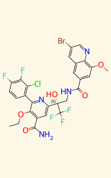 CCOc1c(C(N)=O)cc([C@@](O)(CNC(=O)c2cc(OC)c3ncc(Br)cc3c2)C(F)(F)F)nc1-c1ccc(F)c(F)c1Cl